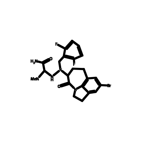 CNC(NN(Cc1c(F)cccc1F)C1CCc2cc(Br)cc3c2N(CC3)C1=O)C(N)=O